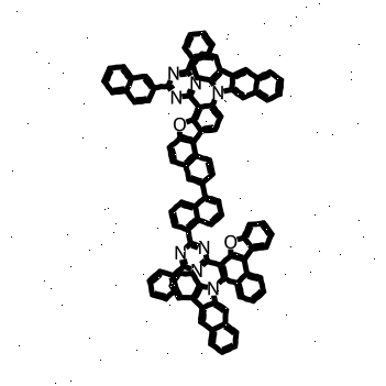 C1=Cc2c(n(-c3ccc4c(oc5ccc6cc(-c7cccc8c(-c9nc(-c%10ccccc%10)nc(-c%10c(-n%11c%12c(c%13cc%14ccccc%14cc%13%11)C=CCC%12)c%11ccccc%11c%11c%10oc%10ccccc%10%11)n9)cccc78)ccc6c54)c3-c3nc(-c4ccccc4)nc(-c4ccc5ccccc5c4)n3)c3cc4ccccc4cc23)CC1